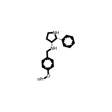 CCCOc1ccc(CN[C@@H]2CCN[C@@H]2c2ccccc2)cc1